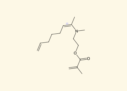 C=CCCC/C=C(/C)N(C)CCOC(=O)C(=C)C